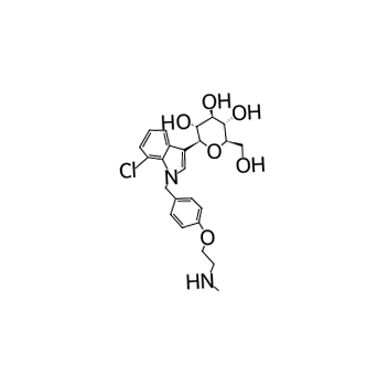 CNCCOc1ccc(Cn2cc([C@@H]3O[C@H](CO)[C@@H](O)[C@H](O)[C@H]3O)c3cccc(Cl)c32)cc1